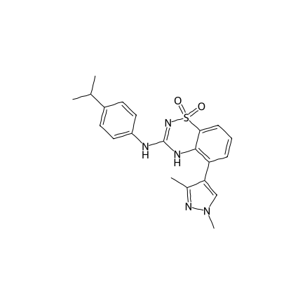 Cc1nn(C)cc1-c1cccc2c1NC(Nc1ccc(C(C)C)cc1)=NS2(=O)=O